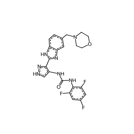 O=C(Nc1c[nH]nc1-c1nc2cc(CN3CCOCC3)ccc2[nH]1)Nc1c(F)cc(F)cc1F